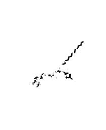 CCCCCCCCCCCCCCOC[C@H](COP(=O)(O)OC[C@@H]1CC[C@](C)(c2ccc3c(N)ncnn23)O1)OCc1ccc(C#N)cc1F